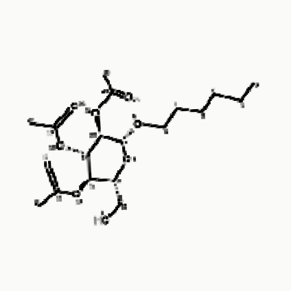 CCCCCCO[C@@H]1O[C@H](CO)[C@@H](OC(C)=O)[C@H](OC(C)=O)[C@H]1OC(C)=O